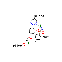 CCCCCCCc1cnc(-c2ccc(OCC(F)COCCCCCC)cc2)nc1.Cc1ccc(S(=O)(=O)[N-]Cl)cc1.[Na+]